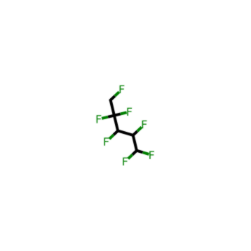 FCC(F)(F)C(F)C(F)C(F)F